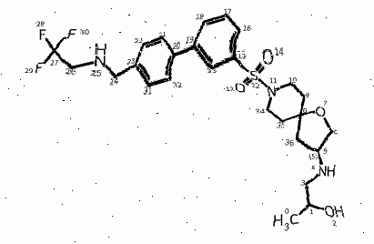 CC(O)CN[C@@H]1COC2(CCN(S(=O)(=O)c3cccc(-c4ccc(CNCC(F)(F)F)cc4)c3)CC2)C1